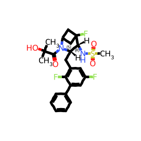 CC(C)(O)C(=O)N1C2CC(F)(C2)[C@H](NS(C)(=O)=O)[C@@H]1Cc1cc(F)cc(-c2ccccc2)c1F